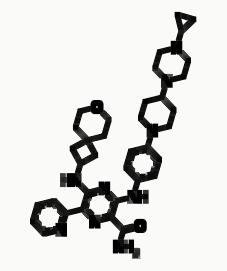 NC(=O)c1nc(-c2ccccn2)c(NC2CC3(CCOCC3)C2)nc1Nc1ccc(N2CCC(N3CCN(C4CC4)CC3)CC2)cc1